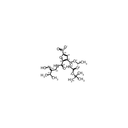 CCON(NC(=O)OC(C)(C)C)c1cc([N+](=O)[O-])oc1C(=O)NCC(=NO)C(C)C